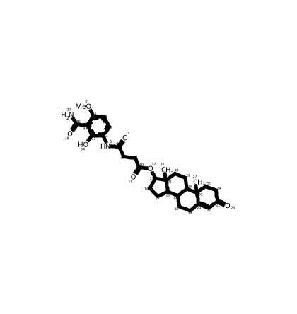 COc1ccc(NC(=O)CCC(=O)OC2CCC3C4CCC5=CC(=O)CCC5(C)C4CCC23C)c(O)c1C(N)=O